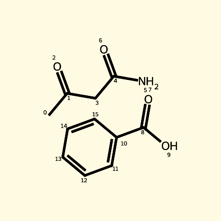 CC(=O)CC(N)=O.O=C(O)c1ccccc1